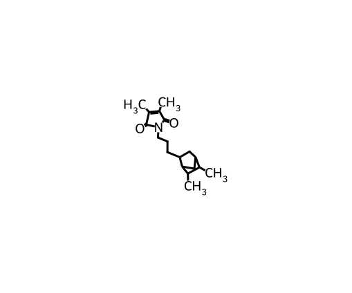 CC1=C(C)C(=O)N(CCCC2CC3CC2C(C)C3C)C1=O